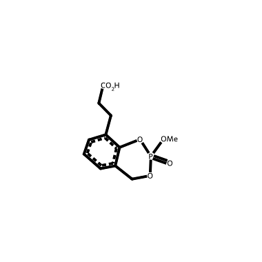 COP1(=O)OCc2cccc(CCC(=O)O)c2O1